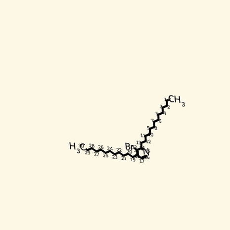 CCCCCCCCCCCCCCc1nccc(CCCCCCCCCCCC)c1Br